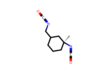 C[C@]1(N=C=O)CCCC(CN=C=O)C1